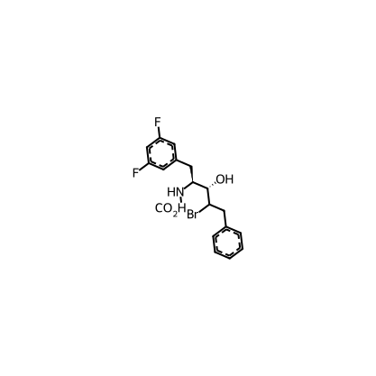 O=C(O)N[C@@H](Cc1cc(F)cc(F)c1)[C@H](O)C(Br)Cc1ccccc1